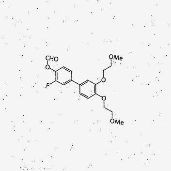 COCCOc1ccc(-c2ccc(OC=O)c(F)c2)cc1OCCOC